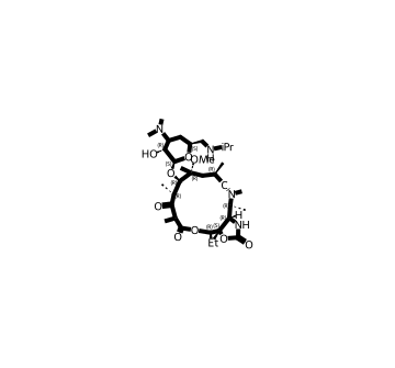 CC[C@H]1OC(=O)C(C)C(=O)[C@H](C)[C@@H](O[C@@H]2O[C@H](CNC(C)C)CC(N(C)C)[C@H]2O)[C@](C)(OC)C[C@@H](C)CN(C)[C@H](C)[C@H]2NC(=O)O[C@@]21C